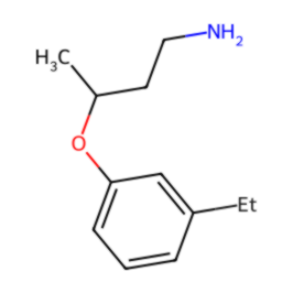 CCc1cccc(OC(C)CCN)c1